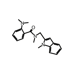 CN(Cc1cc2ccccc2n1C)C(=O)c1ccccc1N(C)C